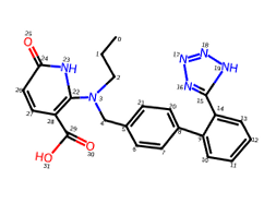 CCCN(Cc1ccc(-c2ccccc2-c2nnn[nH]2)cc1)c1[nH]c(=O)ccc1C(=O)O